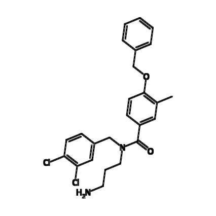 Cc1cc(C(=O)N(CCCN)Cc2ccc(Cl)c(Cl)c2)ccc1OCc1ccccc1